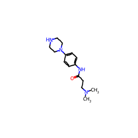 CN(C)CCC(=O)Nc1ccc(N2CCNCC2)cc1